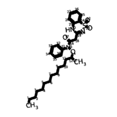 CCCCCCCCCCCCC(C)ON(C(=O)CC1=NS(=O)(=O)c2ccccc2N1)c1ccccc1